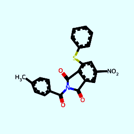 Cc1ccc(C(=O)N2C(=O)c3cc([N+](=O)[O-])cc(Sc4ccccc4)c3C2=O)cc1